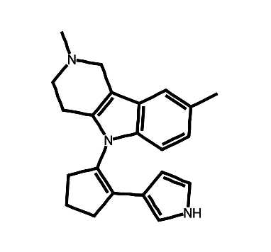 Cc1ccc2c(c1)c1c(n2C2=C(c3cc[nH]c3)CCC2)CCN(C)C1